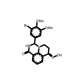 COc1cc(C2NC(=O)c3cccc4c3N2CC/C4=N\O)cc(Br)c1OC